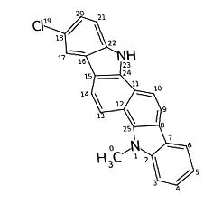 Cn1c2ccccc2c2ccc3c(ccc4c5cc(Cl)ccc5[nH]c43)c21